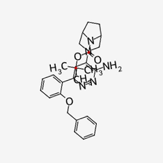 CC(C)(C)OC(=O)N1C2CCC1CN(c1cc(-c3ccccc3OCc3ccccc3)nnc1N)C2